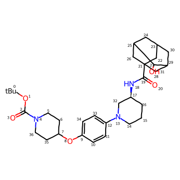 CC(C)(C)OC(=O)N1CCC(Oc2ccc(N3CCC[C@H](NC(=O)C45CC6CC(C4)C(O)C(C6)C5)C3)cc2)CC1